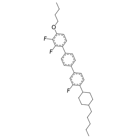 CCCCCC1CCC(c2ccc(-c3ccc(-c4ccc(OCCCC)c(F)c4F)cc3)cc2F)CC1